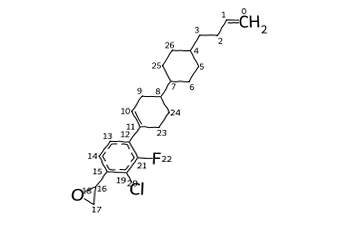 C=CCCC1CCC(C2CC=C(c3ccc(C4CO4)c(Cl)c3F)CC2)CC1